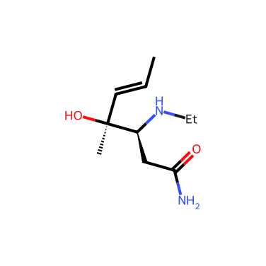 C/C=C/[C@](C)(O)[C@H](CC(N)=O)NCC